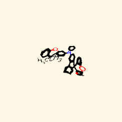 CC1(C)c2ccccc2Oc2cc(N(c3ccccc3)c3ccc4c(c3)-c3ccccc3C43c4ccccc4Oc4ccccc43)ccc21